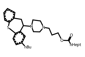 CCCCCCCC(=O)OCCCN1CCN(C2Cc3ccccc3Sc3ccc(CCCC)cc32)CC1